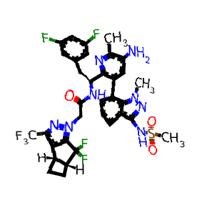 Cc1nc([C@H](Cc2cc(F)cc(F)c2)NC(=O)Cn2nc(C(F)(F)F)c3c2C(F)(F)[C@@H]2CC[C@H]32)c(-c2cccc3c(NS(C)(=O)=O)nn(C)c23)cc1N